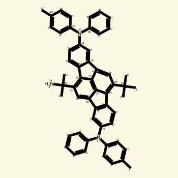 Cc1ccc(N(c2ccccc2)c2ccc3c(c2)-c2cc(C(C)(C)N)c4c5c(cc(C(C)(C)C)c-3c25)-c2cc(N(c3ccccc3)c3ccc(C)cc3)ccc2-4)cc1